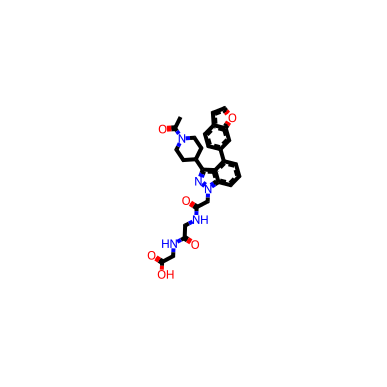 CC(=O)N1CCC(c2nn(CC(=O)NCC(=O)NCC(=O)O)c3cccc(-c4ccc5ccoc5c4)c23)CC1